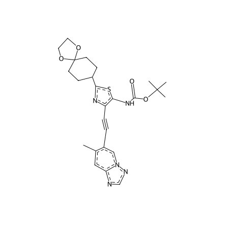 Cc1cc2ncnn2cc1C#Cc1nc(C2CCC3(CC2)OCCO3)sc1NC(=O)OC(C)(C)C